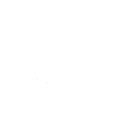 Cc1ccc(-c2nc3c(N4CCN(CCOc5cccc6[nH]c(C(F)(F)F)nc56)CC4)cccc3[nH]2)s1